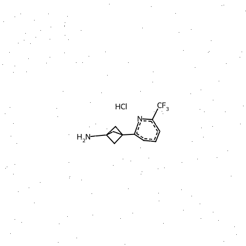 Cl.NC12CC(c3cccc(C(F)(F)F)n3)(C1)C2